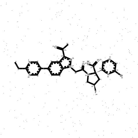 CCc1ncc(-c2ccc3c(c2)c(C(C)=O)nn3CC(=O)N2C[C@H](F)C[C@@]2(C(N)=O)c2cncc(Br)n2)cn1